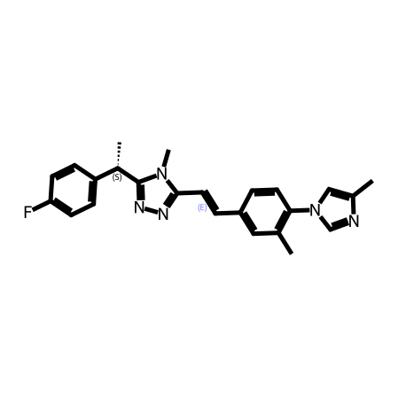 Cc1cn(-c2ccc(/C=C/c3nnc([C@@H](C)c4ccc(F)cc4)n3C)cc2C)cn1